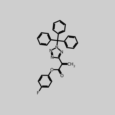 C=C(C(=O)Oc1ccc(F)cc1)c1nnn(C(c2ccccc2)(c2ccccc2)c2ccccc2)n1